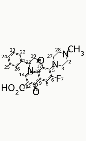 CN1CCN(c2c(F)cc3c(=O)c(C(=O)O)cn4c3c2OCC4c2ccccc2)CC1